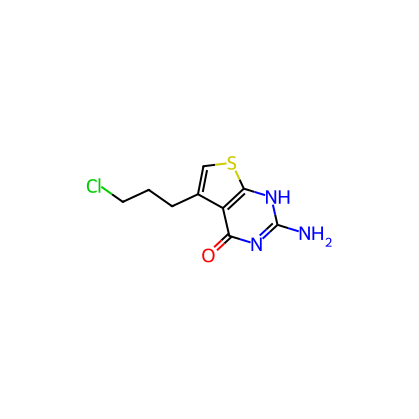 Nc1nc(=O)c2c(CCCCl)csc2[nH]1